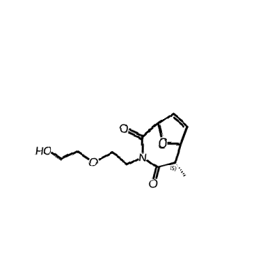 C[C@@H]1C(=O)N(CCOCCO)C(=O)C2C=CC1O2